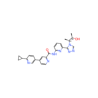 C[C@@H](O)[C@H](C)n1cnnc1-c1cccc(NC(=O)c2cc(-c3ccc(C4CC4)nc3)ccn2)n1